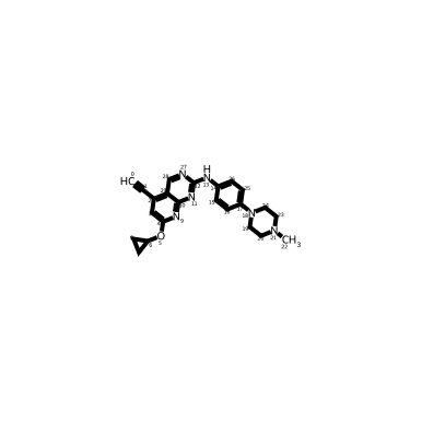 C#Cc1cc(OC2CC2)nc2nc(Nc3ccc(N4CCN(C)CC4)cc3)ncc12